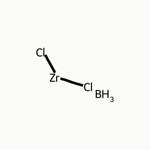 B.[Cl][Zr][Cl]